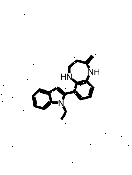 C=C1CCNc2c(cccc2-c2cc3ccccc3n2CC)N1